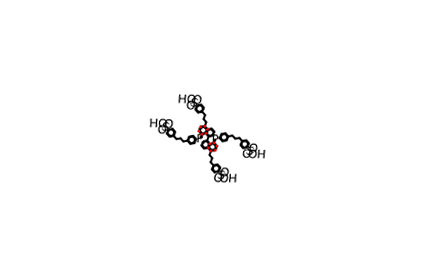 O=S(=O)(O)c1ccc(CCCc2ccc(P(c3ccc(CCCc4ccc(S(=O)(=O)O)cc4)cc3)c3ccc4ccccc4c3-c3c(P(c4ccc(CCCc5ccc(S(=O)(=O)O)cc5)cc4)c4ccc(CCCc5ccc(S(=O)(=O)O)cc5)cc4)ccc4ccccc34)cc2)cc1